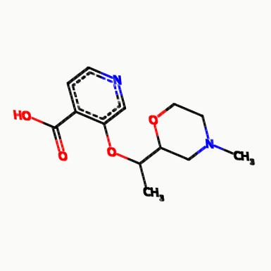 CC(Oc1cnccc1C(=O)O)C1CN(C)CCO1